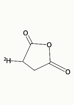 [2H]C1CC(=O)OC1=O